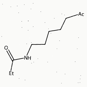 CCC(=O)NCCCCCC(C)=O